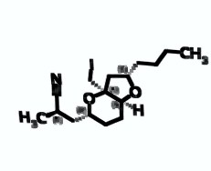 CCCC[C@H]1C[C@]2(CI)O[C@@H](C[C@@H](C)C#N)CC[C@@H]2O1